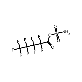 NS(=O)(=O)OC(=O)C(F)(F)C(F)(F)C(F)(F)C(F)(F)F